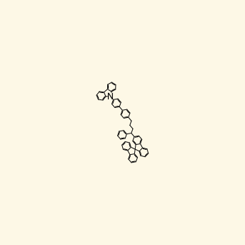 c1ccc(C(CCCc2ccc(-c3ccc(-n4c5ccccc5c5ccccc54)cc3)cc2)c2ccc3c(c2)C2(c4ccccc4-c4ccccc42)c2ccccc2-3)cc1